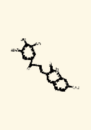 COc1ccc2cc(/C=C/C(=O)c3cc(N=O)c(O)c(OC)c3)c(=O)[nH]c2c1